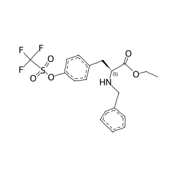 CCOC(=O)[C@H](Cc1ccc(OS(=O)(=O)C(F)(F)F)cc1)NCc1ccccc1